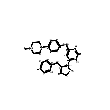 CN1CCN(c2ccc(Nc3cc(N4OCCC4Cc4ccccc4)ncn3)cc2)CC1